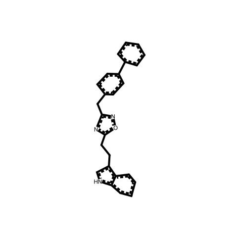 c1ccc(-c2ccc(Cc3noc(CCc4c[nH]c5ccccc45)n3)cc2)cc1